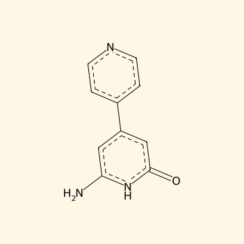 Nc1cc(-c2ccncc2)cc(=O)[nH]1